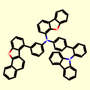 c1cc(-c2cccc3oc4c5ccccc5ccc4c23)cc(N(c2ccc(-c3ccccc3-n3c4ccccc4c4ccccc43)cc2)c2cccc3c2oc2ccccc23)c1